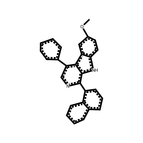 COc1ccc2[nH]c3c(-c4cccc5ccccc45)ncc(-c4ccccc4)c3c2c1